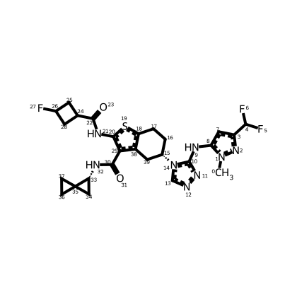 Cn1nc(C(F)F)cc1Nc1nncn1[C@H]1CCc2sc(NC(=O)C3CC(F)C3)c(C(=O)N[C@@H]3CC34CC4)c2C1